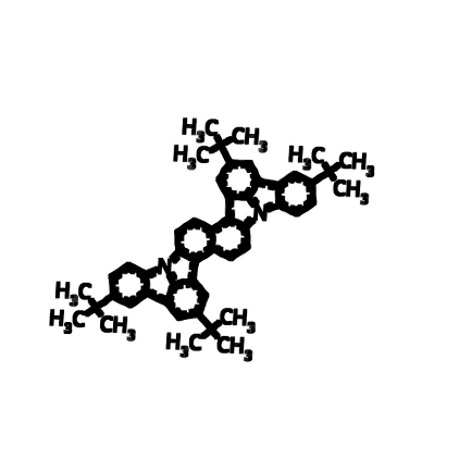 CC(C)(C)c1ccc2c(c1)c1cc(C(C)(C)C)cc3c4c5ccc6c(c5ccc4n2c13)c1cc(C(C)(C)C)cc2c3cc(C(C)(C)C)ccc3n6c21